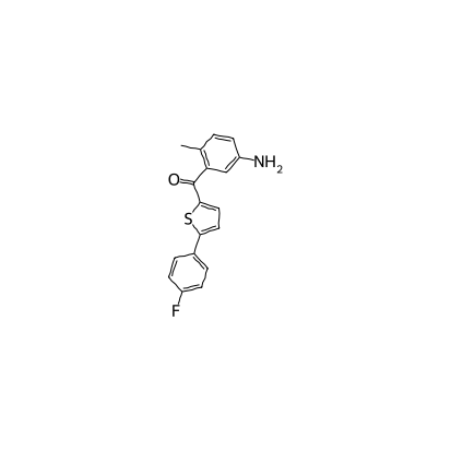 Cc1ccc(N)cc1C(=O)c1ccc(-c2ccc(F)cc2)s1